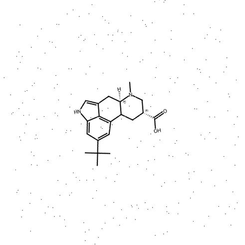 CN1C[C@H](C(=O)O)CC2c3cc(C(C)(C)C)cc4[nH]cc(c34)C[C@H]21